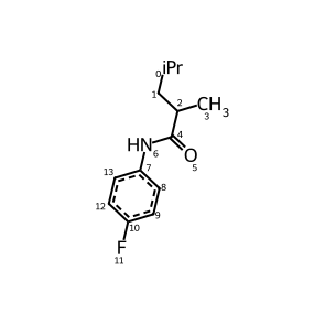 CC(C)CC(C)C(=O)Nc1ccc(F)cc1